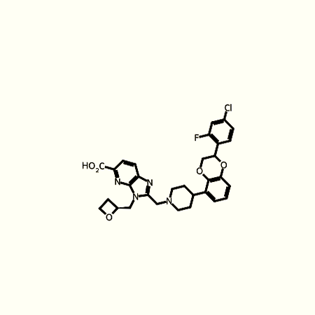 O=C(O)c1ccc2nc(CN3CCC(c4cccc5c4OCC(c4ccc(Cl)cc4F)O5)CC3)n(C[C@@H]3CCO3)c2n1